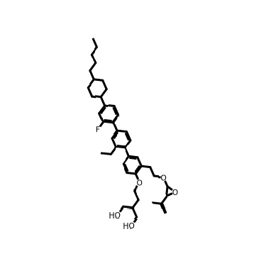 C=C(C)C1OC1OCCc1cc(-c2ccc(-c3ccc(C4CCC(CCCCC)CC4)cc3F)cc2CC)ccc1OCCC(CO)CO